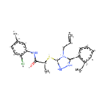 C=CCN1C(SC(C)C(=O)Nc2cc(C(F)(F)F)ccc2Cl)NNC1c1ccccc1OC